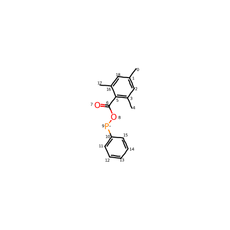 Cc1cc(C)c(C(=O)O[P]c2ccccc2)c(C)c1